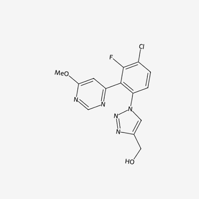 COc1cc(-c2c(-n3cc(CO)nn3)ccc(Cl)c2F)ncn1